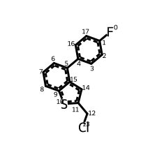 Fc1ccc(-c2cccc3sc(CCl)cc23)cc1